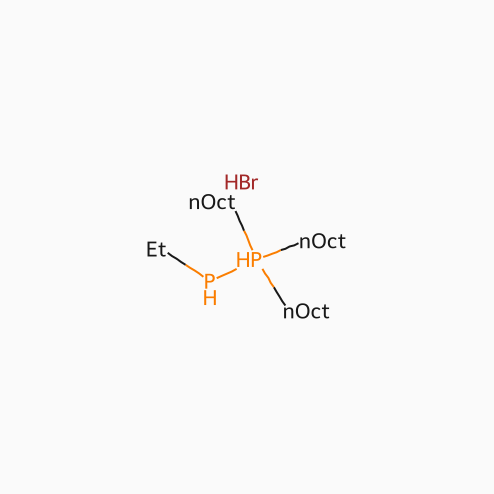 Br.CCCCCCCC[PH](CCCCCCCC)(CCCCCCCC)PCC